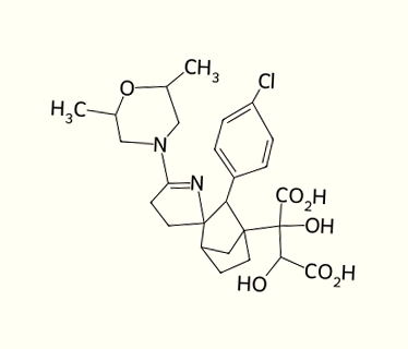 CC1CN(C2=NC3(CC2)C2CCC(C(O)(C(=O)O)C(O)C(=O)O)(C2)C3c2ccc(Cl)cc2)CC(C)O1